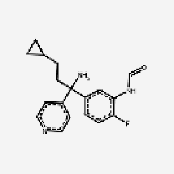 NC(CCC1CC1)(c1ccncc1)c1ccc(F)c(NC=O)c1